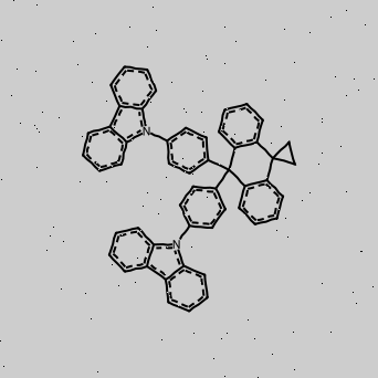 c1ccc2c(c1)C1(CC1)c1ccccc1C2(c1ccc(-n2c3ccccc3c3ccccc32)cc1)c1ccc(-n2c3ccccc3c3ccccc32)cc1